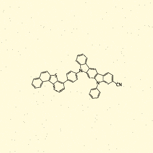 N#Cc1ccc2c3cc4c5ccccc5n(-c5ccc(-c6cccc7c6sc6ccc8ccccc8c67)cc5)c4cc3n(-c3ccccc3)c2c1